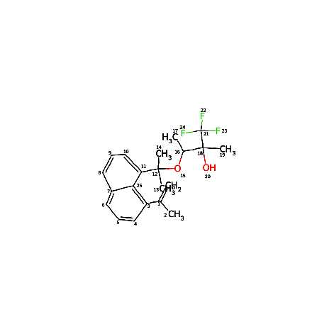 C=C(C)c1cccc2cccc(C(C)(C)OC(C)C(C)(O)C(F)(F)F)c12